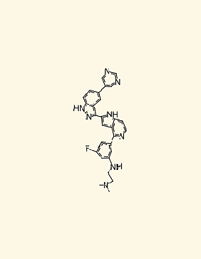 CN(C)CCNc1cc(F)cc(-c2nccc3[nH]c(-c4n[nH]c5ccc(-c6cncnc6)cc45)cc23)c1